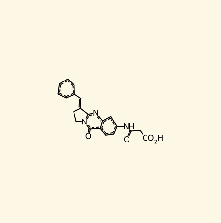 O=C(O)CC(=O)Nc1ccc2c(=O)n3c(nc2c1)/C(=C/c1ccccc1)CC3